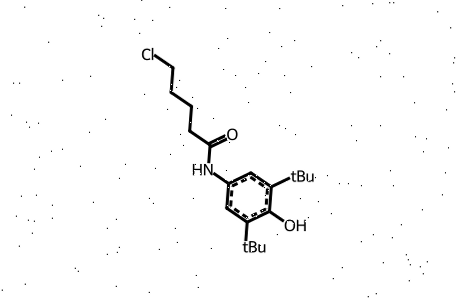 CC(C)(C)c1cc(NC(=O)CCCCCl)cc(C(C)(C)C)c1O